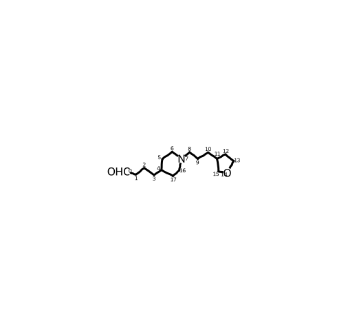 O=CCCCC1CCN(CCCC2CCOC2)CC1